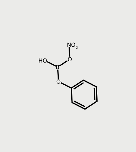 O=[N+]([O-])OB(O)Oc1ccccc1